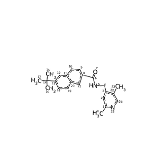 Cc1cc(CNC(=O)c2ccc3cc(C(C)(C)C)ccc3c2)c(C)cn1